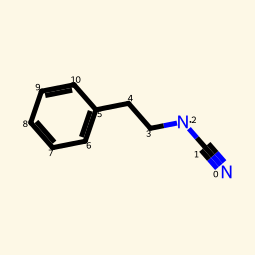 N#C[N]CCc1ccccc1